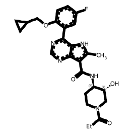 CCC(=O)N1CC[C@@H](NC(=O)c2c(C)[nH]c3c(-c4cc(F)ccc4OCC4CC4)ncnc23)[C@H](O)C1